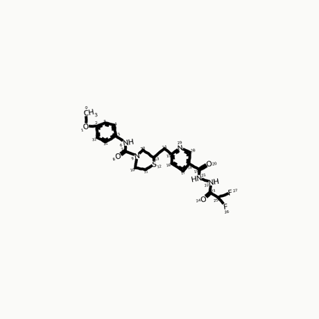 COc1ccc(NC(=O)N2CCSC(Cc3ccc(C(=O)NNC(=O)C(F)F)cn3)C2)cc1